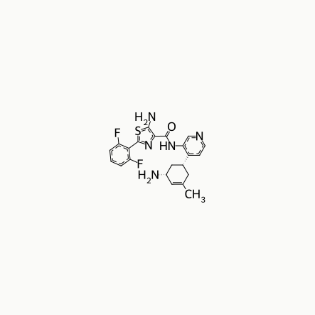 CC1=C[C@H](N)C[C@H](c2ccncc2NC(=O)c2nc(-c3c(F)cccc3F)sc2N)C1